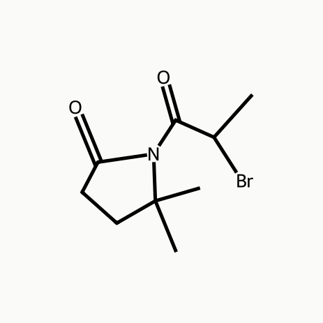 CC(Br)C(=O)N1C(=O)CCC1(C)C